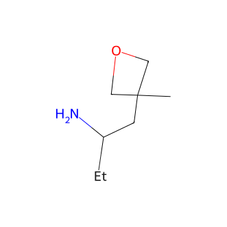 CCC(N)CC1(C)COC1